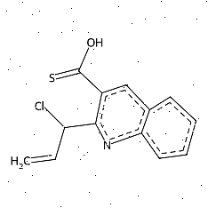 C=CC(Cl)c1nc2ccccc2cc1C(O)=S